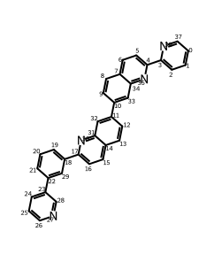 c1ccc(-c2ccc3ccc(-c4ccc5ccc(-c6cccc(-c7cccnc7)c6)nc5c4)cc3n2)nc1